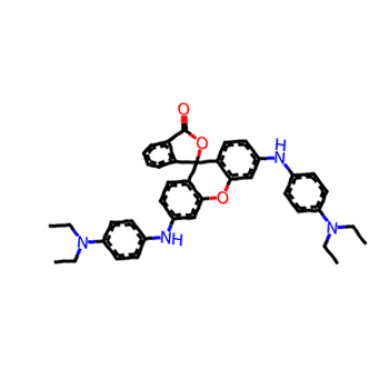 CCN(CC)c1ccc(Nc2ccc3c(c2)Oc2cc(Nc4ccc(N(CC)CC)cc4)ccc2C32OC(=O)c3ccccc32)cc1